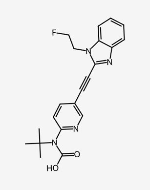 CC(C)(C)N(C(=O)O)c1ccc(C#Cc2nc3ccccc3n2CCF)cn1